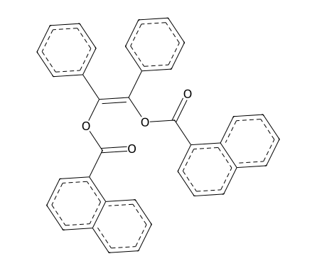 O=C(OC(=C(OC(=O)c1cccc2ccccc12)c1ccccc1)c1ccccc1)c1cccc2ccccc12